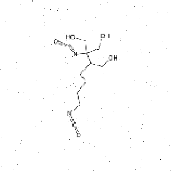 O=C=NCCCCC(CO)C(CO)(CO)N=C=O